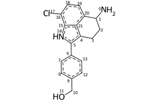 NC1CCc2c(-c3ccc(CO)cc3)[nH]c3c(Cl)ccc1c23